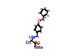 CCC(NCc1ccc(OCc2ccccc2)cc1)C(=O)NC